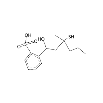 CCCC(C)(S)CC(O)c1ccccc1S(=O)(=O)O